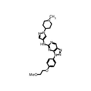 COCCOc1ccc(-n2nnc3cnc(Nc4cnn(C5CCN(C)CC5)c4)nc32)cc1